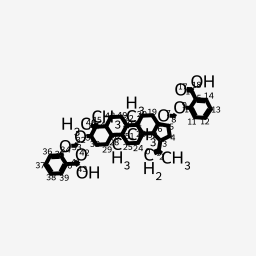 C=C(C)C1CCC2(OCOc3ccccc3C(=O)O)CC[C@@]3(C)C(CCC4[C@@]5(C)CCC(OCOc6ccccc6C(=O)O)C(C)(C)C5CC[C@]43C)C12